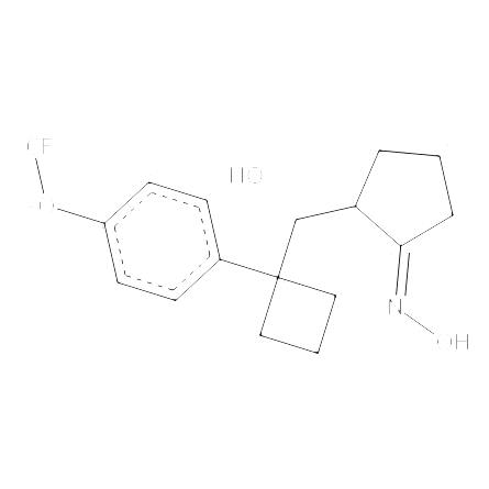 ON=C1CCCC1[C@@H](O)C1(c2ccc(OC(F)(F)F)cc2)CCC1